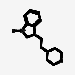 [O-][N+]1CN(CCN2CCOCC2)c2ccccc21